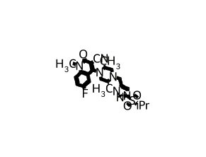 CC(C)S(=O)(=O)n1cc(CN2C[C@H](C)N(c3c(C#N)c(=O)n(C)c4ccc(F)cc34)C[C@H]2C)nn1